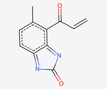 C=CC(=O)c1c(C)ccc2c1=NC(=O)N=2